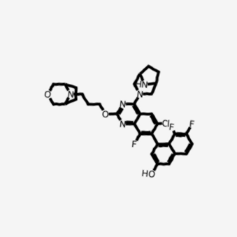 Oc1cc(-c2c(Cl)cc3c(N4CC5CCC(C4)N5)nc(OCCCN4C5CCC4COC5)nc3c2F)c2c(F)c(F)ccc2c1